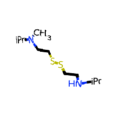 CC(C)NCCSSCCN(C)C(C)C